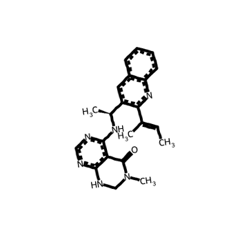 C/C=C(\C)c1nc2ccccc2cc1[C@H](C)Nc1ncnc2c1C(=O)N(C)CN2